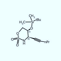 CCCC#C[C@H]1NS(=O)(=O)OC[C@H]1O[Si](C)(C)C(C)(C)C